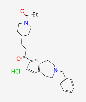 CCC(=O)N1CCC(CCC(=O)c2ccc3c(c2)CCN(Cc2ccccc2)CC3)CC1.Cl